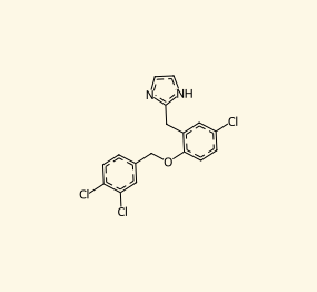 Clc1ccc(OCc2ccc(Cl)c(Cl)c2)c(Cc2ncc[nH]2)c1